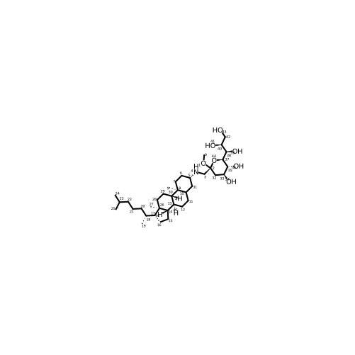 CO[C@@]1(CN[C@H]2CC[C@@]3(C)C(CC[C@H]4[C@@H]5CC[C@H]([C@H](C)CCCC(C)C)[C@@]5(C)CC[C@@H]43)C2)C[C@H](O)[C@@H](O)[C@H]([C@H](O)[C@@H](O)CO)O1